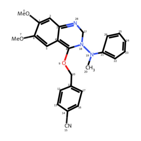 COc1cc2c(cc1OC)=C(OCc1ccc(C#N)cc1)N(N(C)c1ccccc1)CN=2